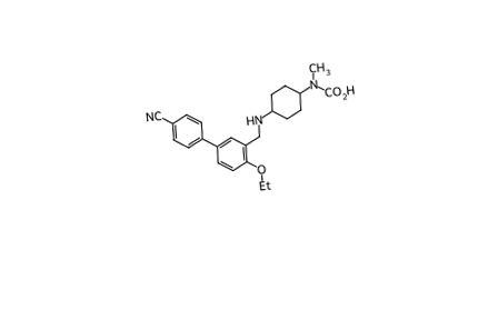 CCOc1ccc(-c2ccc(C#N)cc2)cc1CNC1CCC(N(C)C(=O)O)CC1